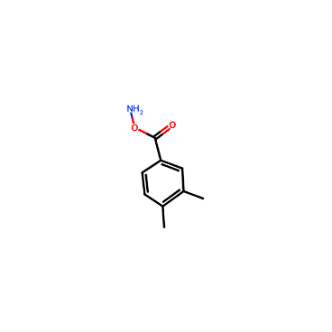 Cc1ccc(C(=O)ON)cc1C